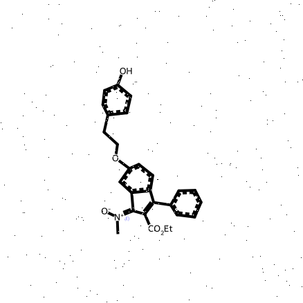 CCOC(=O)C1=C(c2ccccc2)c2ccc(OCCc3ccc(O)cc3)cc2/C1=[N+](/C)[O-]